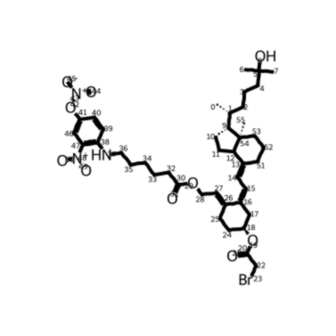 C[C@H](CCCC(C)(C)O)[C@H]1CCC2/C(=C/C=C3/C[C@@H](OC(=O)CBr)CC/C3=C\COC(=O)CCCCCNc3ccc(O[N+](=O)[O-])cc3[N+](=O)[O-])CCC[C@@]21C